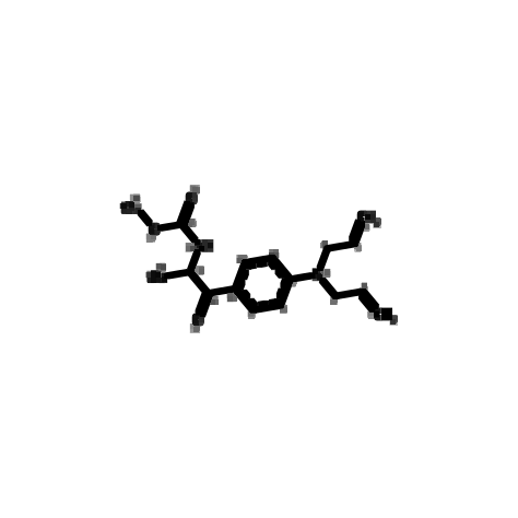 C=CCN(CC=C)c1ccc(C(=O)C(NC(=O)OC(C)(C)C)C(C)(C)C)cc1